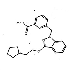 COC(=O)c1cccc(Cn2nc(OCCN3CCCC3)c3ccccc32)c1